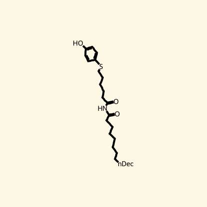 CCCCCCCCCCCCCCCCCC(=O)NC(=O)CCCCCSc1ccc(O)cc1